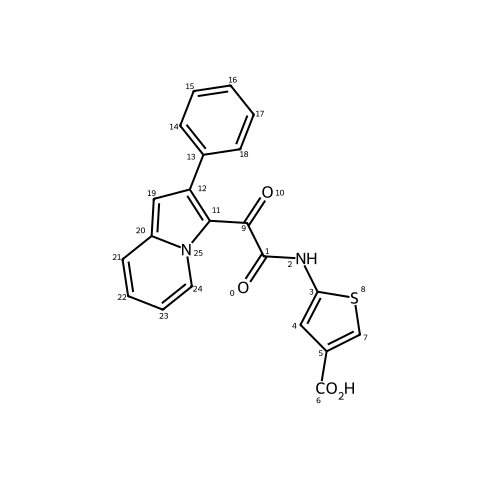 O=C(Nc1cc(C(=O)O)cs1)C(=O)c1c(-c2ccccc2)cc2ccccn12